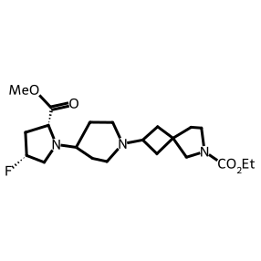 CCOC(=O)N1CCC2(CC(N3CCC(N4C[C@H](F)C[C@@H]4C(=O)OC)CC3)C2)C1